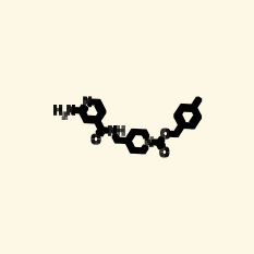 Cc1ccc(COC(=O)N2CCC(CNC(=O)c3ccnc(N)c3)CC2)cc1